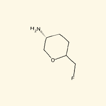 N[C@@H]1CCC(CF)OC1